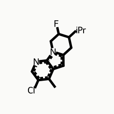 Cc1c(Cl)cnc2c1cc1n2CC(F)C(C(C)C)C1